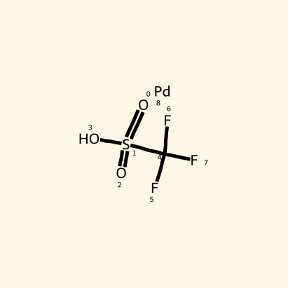 O=S(=O)(O)C(F)(F)F.[Pd]